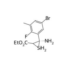 CCOC(=O)C1[SiH2][C@]1(N)c1cc(Br)cc(C)c1F